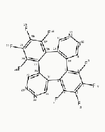 Fc1c(F)c(F)c2c(c1F)-c1cnncc1-c1c(F)c(F)c(F)c(F)c1-c1cnncc1-2